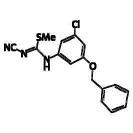 CS/C(=N\C#N)Nc1cc(Cl)cc(OCc2ccccc2)c1